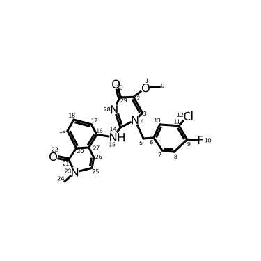 COc1cn(Cc2ccc(F)c(Cl)c2)c(Nc2cccc3c(=O)n(C)ccc23)nc1=O